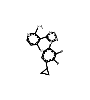 CCCCc1ccnc(N)c1-c1nnnn1-c1ccc(C2CC2)c(F)c1F